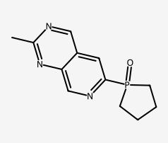 Cc1ncc2cc(P3(=O)CCCC3)ncc2n1